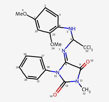 COc1ccc(NC(N=C2C(=O)N(C)C(=O)N2c2ccccc2)C(Cl)(Cl)Cl)c(OC)c1